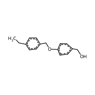 CCc1ccc(COc2ccc(CO)cc2)cc1